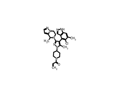 C=CC(=O)N1CCC(n2nc(N3CCn4nccc4C3C)c(-c3c(Cl)c(C)cc4[nH]ncc34)c2C)CC1